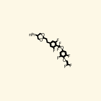 CCCC1COC(CCc2cc(F)c(C(F)(F)Oc3cc(F)c(OC=C(F)F)c(F)c3)c(F)c2)OC1